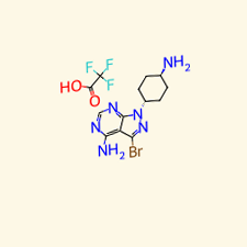 Nc1ncnc2c1c(Br)nn2[C@H]1CC[C@H](N)CC1.O=C(O)C(F)(F)F